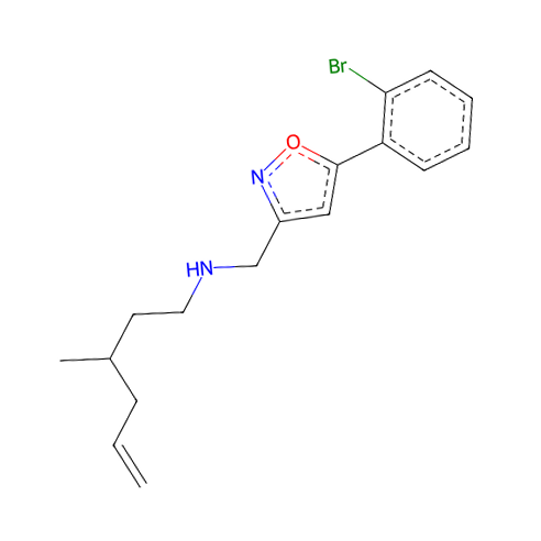 C=CCC(C)CCNCc1cc(-c2ccccc2Br)on1